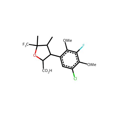 COc1c(Cl)cc(C2C(C(=O)O)OC(C)(C(F)(F)F)C2C)c(OC)c1F